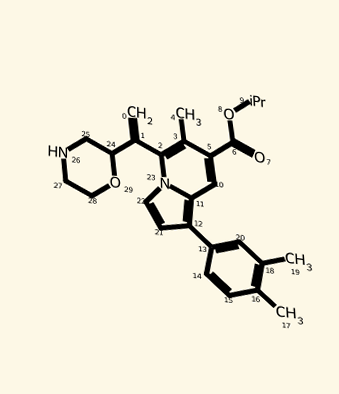 C=C(c1c(C)c(C(=O)OC(C)C)cc2c(-c3ccc(C)c(C)c3)ccn12)C1CNCCO1